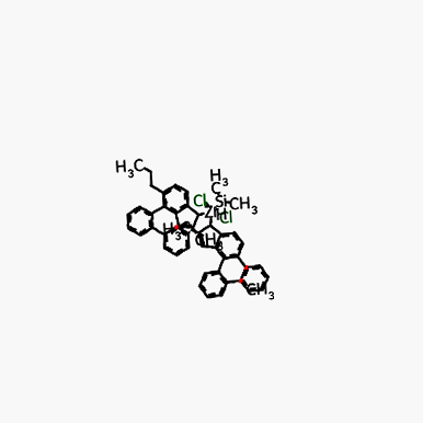 CCCc1ccc2c(c1-c1ccccc1-c1ccccc1)C=C(C)[CH]2[Zr]([Cl])([Cl])([CH]1C(C)=Cc2c1ccc(CCC)c2-c1ccccc1-c1ccccc1)[SiH](C)C